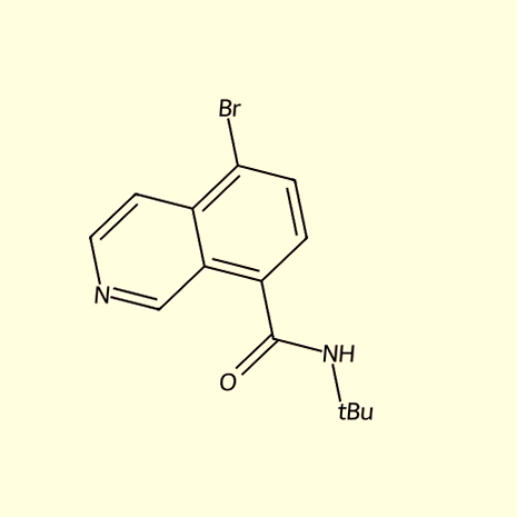 CC(C)(C)NC(=O)c1ccc(Br)c2ccncc12